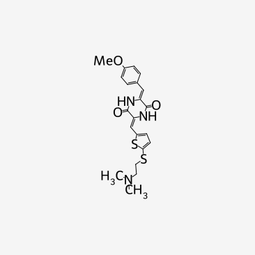 COc1ccc(/C=c2\[nH]c(=O)/c(=C/c3ccc(SCCN(C)C)s3)[nH]c2=O)cc1